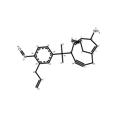 C=CC/C1=C\C(N)/C=C\C(C(C)(C)c2ccc(N=O)c(CC=C)c2)C#CC1